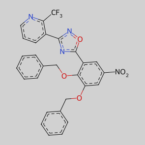 O=[N+]([O-])c1cc(OCc2ccccc2)c(OCc2ccccc2)c(-c2nc(-c3cccnc3C(F)(F)F)no2)c1